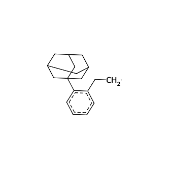 [CH2]Cc1ccccc1C12CC3CC(CC(C3)C1)C2